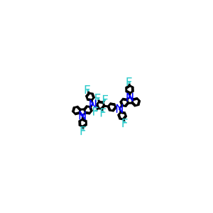 Fc1ccc(N(c2ccc(-c3c(F)c(F)c(N(c4ccc(F)cc4)c4ccc5c(c4)c4ccccc4n5-c4ccc(F)cc4)c(F)c3F)cc2)c2ccc3c(c2)c2ccccc2n3-c2ccc(F)cc2)cc1